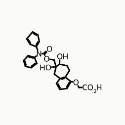 O=C(O)COc1cccc2c1CCC(O)C(O)(COC(=O)N(c1ccccc1)c1ccccc1)C2